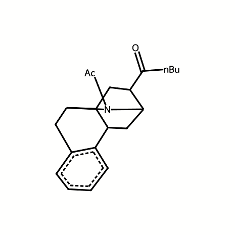 CCCCC(=O)C1CC2C3CC1N(C(C)=O)C2Cc1ccccc13